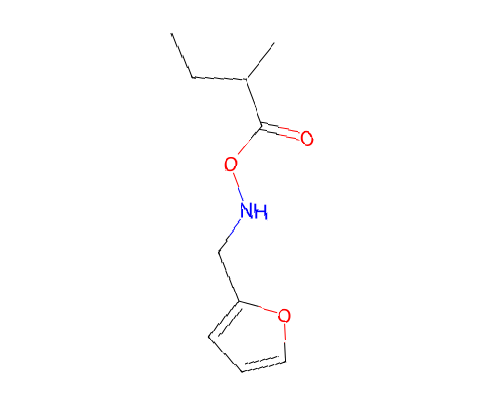 CCC(C)C(=O)ONCc1ccco1